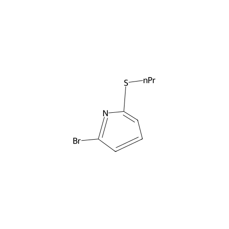 CCCSc1cccc(Br)n1